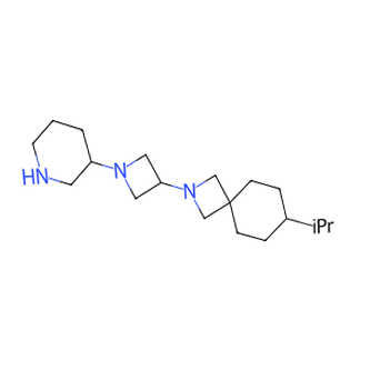 CC(C)C1CCC2(CC1)CN(C1CN(C3CCCNC3)C1)C2